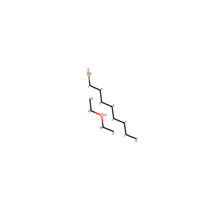 CCCCCCCCBr.CCOCC